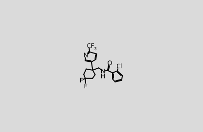 O=C(NCC1(c2ccc(C(F)(F)F)nc2)CCC(F)(F)CC1)c1ccccc1Cl